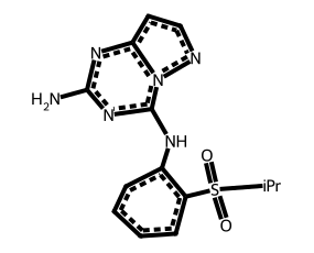 CC(C)S(=O)(=O)c1ccccc1Nc1nc(N)nc2ccnn12